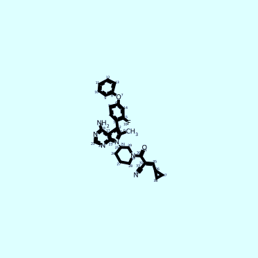 Cc1c(-c2ccc(Oc3ccccc3)cc2F)c2c(N)ncnc2n1[C@H]1CCCN(C(=O)C(C#N)=CC2CC2)C1